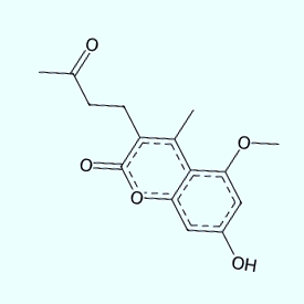 COc1cc(O)cc2oc(=O)c(CCC(C)=O)c(C)c12